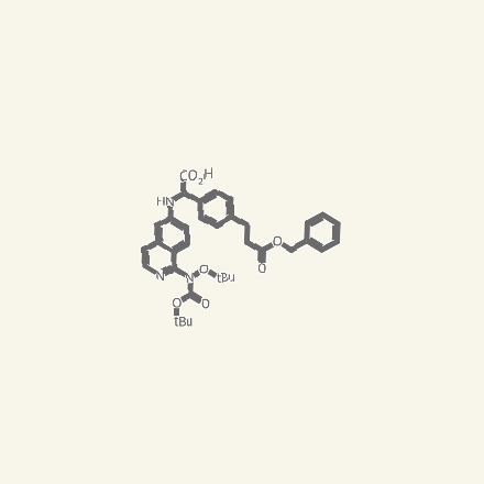 CC(C)(C)OC(=O)N(OC(C)(C)C)c1nccc2cc(NC(C(=O)O)c3ccc(CCC(=O)OCc4ccccc4)cc3)ccc12